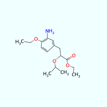 CCOC(=O)C(Cc1ccc(OCC)c(N)c1)OC(C)C